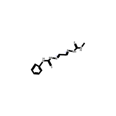 CNC(=S)N/N=C/C=N/NC(=S)Nc1ccccc1